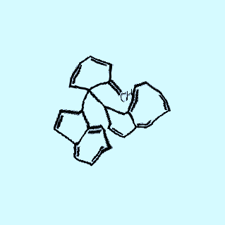 C=C1C=CC=CC1(C1C=Cc2ccccc21)C1C=Cc2ccccc21